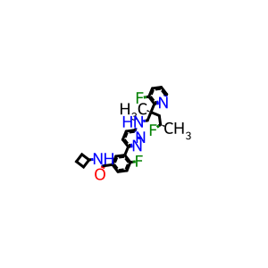 C[C@H](F)C[C@@](C)(CNc1ccc(-c2cc(C(=O)NC3CCC3)ccc2F)nn1)c1ncccc1F